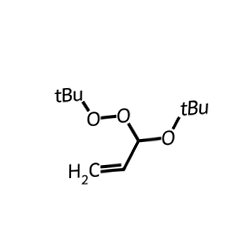 [C]C(C)(C)OC(C=C)OOC(C)(C)C